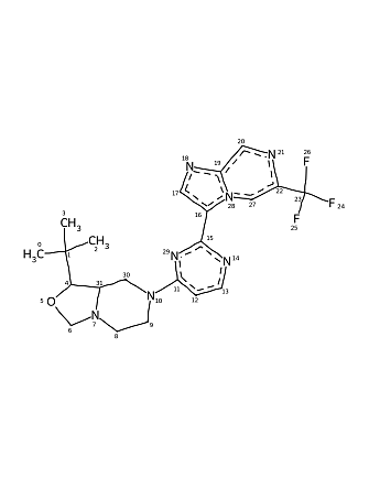 CC(C)(C)C1OCN2CCN(c3ccnc(-c4cnc5cnc(C(F)(F)F)cn45)n3)CC12